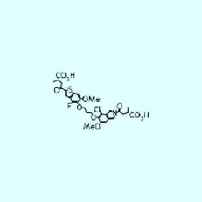 COc1cc2c(c(Cl)c1OCCCOc1c(OC)cc3sc(C(=O)C[C@H](C)C(=O)O)cc3c1F)CN(C(=O)C[C@H](C)C(=O)O)C2